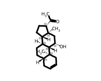 CC(=O)[C@H]1CC[C@H]2[C@@H]3CC[C@H]4CC=CC[C@]4(C)[C@H]3[C@@H](O)C[C@]12C